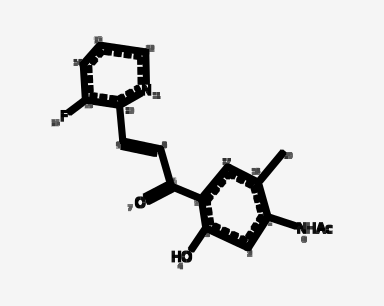 CC(=O)Nc1cc(O)c(C(=O)C=Cc2ncccc2F)cc1C